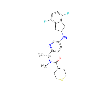 CN(C(=O)C1CCSCC1)[C@@H](c1ccc(NC2Cc3c(F)ccc(F)c3C2)cn1)C(F)(F)F